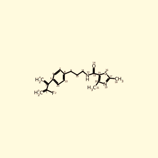 C=C(F)C(=C)c1ccc(CCCNC(=O)c2sc(C)nc2C)cc1